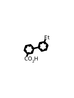 CCc1cccc(-c2cccc(C(=O)O)c2)c1